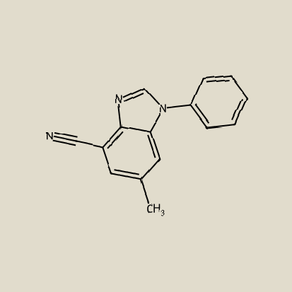 Cc1cc(C#N)c2ncn(-c3ccccc3)c2c1